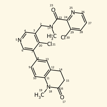 CN(Cc1cncc(-c2ccc3c(c2)CCC(=O)N3C)c1Cl)C(=O)c1ncccc1Cl